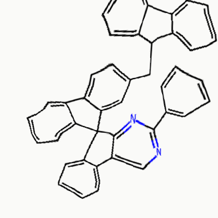 c1ccc(-c2ncc3c(n2)C2(c4ccccc4-c4ccc(CC5c6ccccc6-c6ccccc65)cc42)c2ccccc2-3)cc1